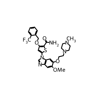 COc1cc2ncn(-c3cc(OCc4ccccc4C(F)(F)F)c(C(N)=O)s3)c2cc1OCCN1CCN(C)CC1